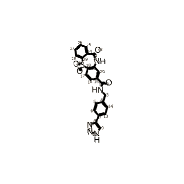 O=C(NCc1ccc(-c2c[nH]nn2)cc1)c1ccc2c(c1)NC(=O)c1ccccc1S2(=O)=O